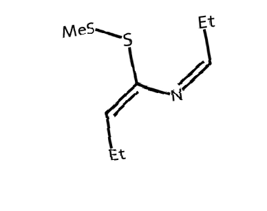 CC/C=N\C(=C/CC)SSC